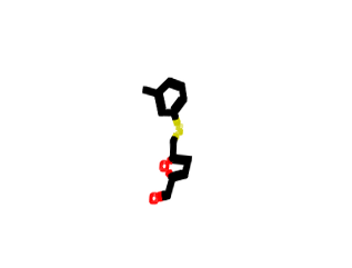 Cc1cccc(SCc2ccc(C=O)o2)c1